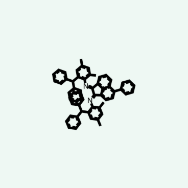 Cc1cc(C)c(N=C2C(=Nc3c(C)cc(C)cc3C(c3ccccc3)c3ccccc3)c3ccc(-c4ccccc4)c4cccc2c34)c(C(c2ccccc2)c2ccccc2)c1